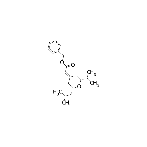 CC(C)C[C@@H]1C/C(=C/C(=O)OCc2ccccc2)C[C@H](C(C)C)O1